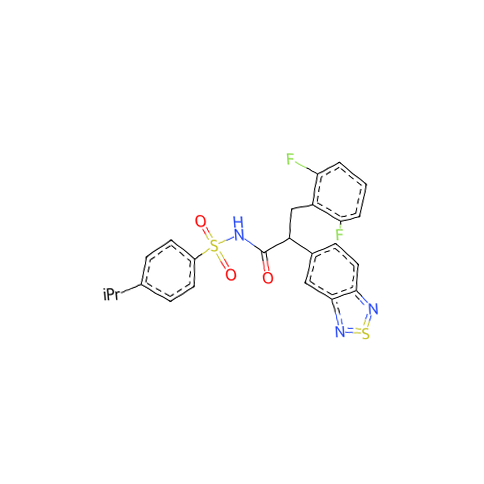 CC(C)c1ccc(S(=O)(=O)NC(=O)C(Cc2c(F)cccc2F)c2ccc3nsnc3c2)cc1